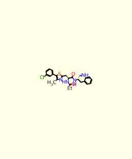 CCC(=O)N[C@@H](Cc1nc(C)c(-c2cccc(Cl)c2)s1)C(=O)N[C@H](CN)Cc1ccccc1